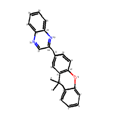 CC1(C)c2ccccc2Oc2ccc(-c3cnc4ccccc4n3)cc21